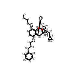 CCCCOc1ccc(OCCCc2ccccc2)c2c1[C@]13CCN(CC4CC4)[C@H](C2)[C@@H]1CCC(=O)C3